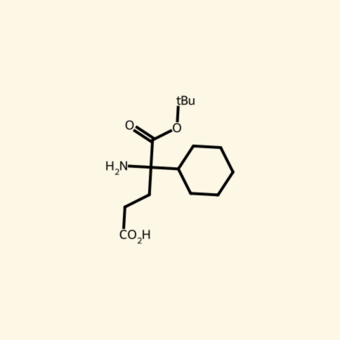 CC(C)(C)OC(=O)C(N)(CCC(=O)O)C1CCCCC1